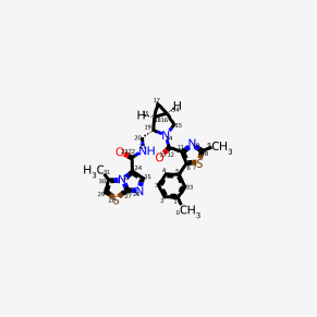 Cc1cccc(-c2sc(C)nc2C(=O)N2C[C@@H]3C[C@@H]3[C@H]2CNC(=O)c2cnc3scc(C)n23)c1